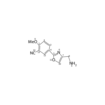 COc1ccc(-c2nc(CN)co2)cc1C#N